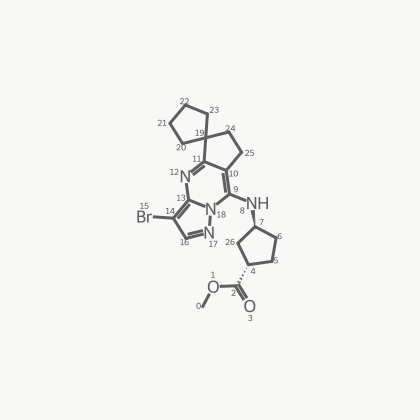 COC(=O)[C@H]1CC[C@H](Nc2c3c(nc4c(Br)cnn24)C2(CCCC2)CC3)C1